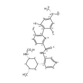 C[C@@H]1C[C@H](NC(=O)O)C[C@H](c2ccncc2NC(=O)c2ccc(F)c(-c3c(F)cc([S@+](C)[O-])cc3F)n2)C1